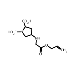 C=CCOC(=O)CNC1CC(C(=O)O)N(C(=O)O)C1